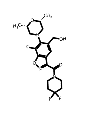 C[C@@H]1CN(c2c(CO)cc3c(C(=O)N4CCC(F)(F)CC4)noc3c2F)C[C@H](C)O1